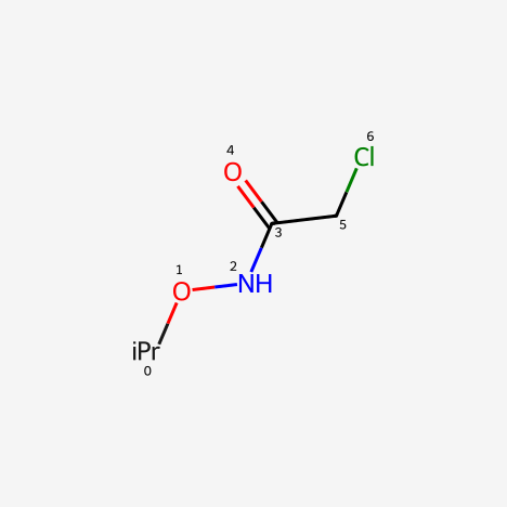 CC(C)ONC(=O)CCl